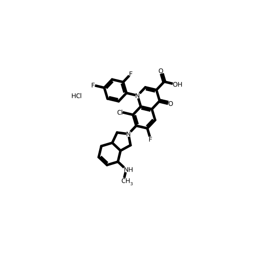 CNC1C=CCC2CN(c3c(F)cc4c(=O)c(C(=O)O)cn(-c5ccc(F)cc5F)c4c3Cl)CC21.Cl